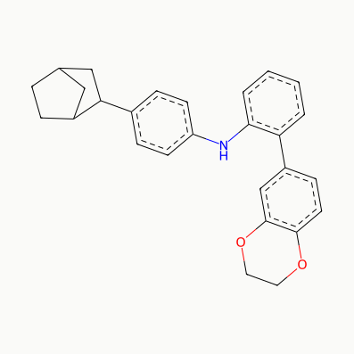 c1ccc(-c2ccc3c(c2)OCCO3)c(Nc2ccc(C3CC4CCC3C4)cc2)c1